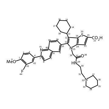 COc1ccc(-c2ccc3cc(-c4c(C5CCCCC5)c5sc(C(=O)O)cc5n4CC(=O)NCCN4CCCCC4)ccc3n2)cc1F